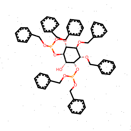 O[C@@H]1[C@@H](OP(OCc2ccccc2)OCc2ccccc2)[C@H](OCc2ccccc2)[C@@H](OCc2ccccc2)[C@H](OCc2ccccc2)[C@@H]1OP(OCc1ccccc1)OCc1ccccc1